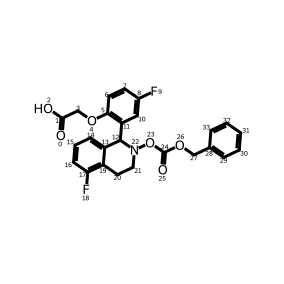 O=C(O)COc1ccc(F)cc1C1c2cccc(F)c2CCN1OC(=O)OCc1ccccc1